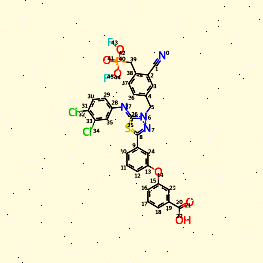 N#Cc1cc(Cn2nc(-c3cccc(Oc4cccc(C(=O)O)c4)c3)sc2=Nc2ccc(Cl)c(Cl)c2)ccc1CP(=O)(OF)OF